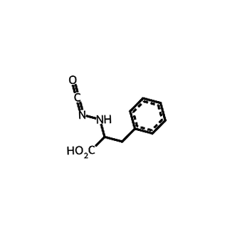 O=C=NNC(Cc1ccccc1)C(=O)O